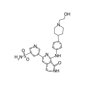 NS(=O)(=O)c1cncc(-c2cc3cc[nH]c(=O)c3c(Nc3ccc(C4CCN(CCO)CC4)cc3)n2)c1